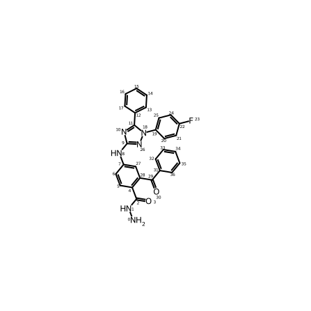 NNC(=O)c1ccc(Nc2nc(-c3ccccc3)n(-c3ccc(F)cc3)n2)cc1C(=O)c1ccccc1